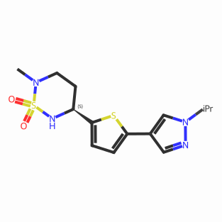 CC(C)n1cc(-c2ccc([C@@H]3CCN(C)S(=O)(=O)N3)s2)cn1